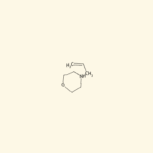 C1COCCN1.C=CC